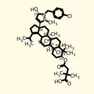 CC(C)C1=C2C3CC[C@@H]4[C@@]5(C)CC[C@H](OC(=O)CC(C)(C)C(=O)O)C(C)(C)[C@@H]5CC[C@@]4(C)[C@]3(C)CC[C@@]2(C2=C[C@H](O)N(Cc3ccc(Cl)cc3)N2C)CC1